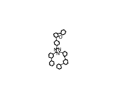 c1ccc(-c2cccc(-c3cccc(-c4nc(-c5ccc(-c6cccc7c6oc6ccccc67)cc5)nc(-c5cccc(-c6ccccc6)c5)n4)c3)c2)cc1